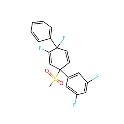 CS(=O)(=O)C1(c2cc(F)cc(F)c2)C=CC(F)(c2ccccc2)C(F)=C1